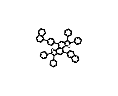 c1ccc(-c2oc3c(cc(-c4ccc5ccccc5c4)c4c5oc(-c6ccccc6)c(-c6ccccc6)c5cc(-c5ccc(-c6cccc7ccccc67)cc5)c34)c2-c2ccccc2)cc1